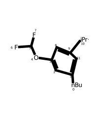 CCCCc1cc(OC(F)F)cc([C](C)C)c1